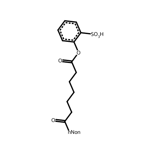 CCCCCCCCCC(=O)CCCCCC(=O)Oc1ccccc1S(=O)(=O)O